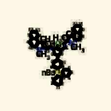 CCCCS(c1ccccc1)(c1ccccc1)c1ccc(C2CC(/C=C/C3=[N+](C)c4ccc5ccccc5c4C3(C)C)=C(Cl)C(=C/C=C3/N(C)c4ccc5ccccc5c4C3(C)C)/C2)cc1